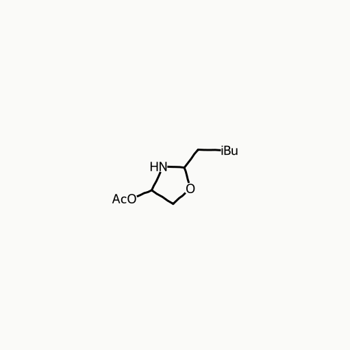 CCC(C)CC1NC(OC(C)=O)CO1